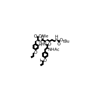 C=CCOc1ccc(C[C@H](NC(=O)[C@@H](CCCCNC(=O)OC(C)(C)C)NC(=O)[C@H](Cc2ccc(O[C@H](I)C=C)cc2)NC(C)=O)C(=O)OC)cc1